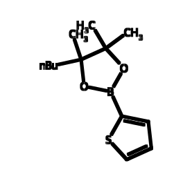 CCCCC1(C)OB(c2cccs2)OC1(C)C